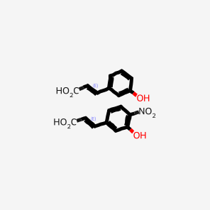 O=C(O)/C=C/c1ccc([N+](=O)[O-])c(O)c1.O=C(O)/C=C/c1cccc(O)c1